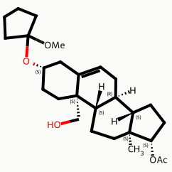 COC1(O[C@H]2CC[C@@]3(CO)C(=CC[C@@H]4[C@@H]3CC[C@]3(C)[C@@H](OC(C)=O)CC[C@@H]43)C2)CCCC1